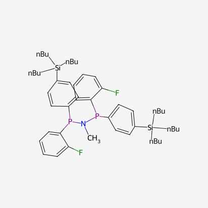 CCCC[Si](CCCC)(CCCC)c1ccc(P(c2ccccc2F)N(C)P(c2ccc([Si](CCCC)(CCCC)CCCC)cc2)c2ccccc2F)cc1